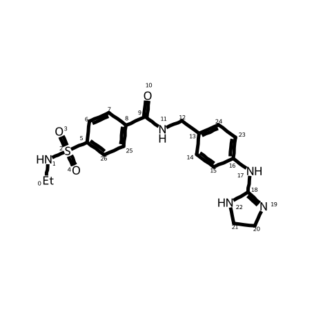 CCNS(=O)(=O)c1ccc(C(=O)NCc2ccc(NC3=NCCN3)cc2)cc1